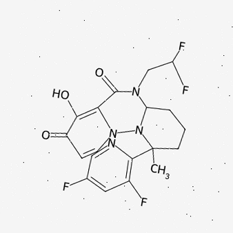 CC1(c2ncc(F)cc2F)CCCC2N(CC(F)F)C(=O)c3c(O)c(=O)ccn3N21